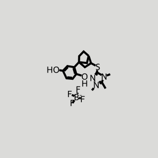 Cc1n(C)c(SC2CC3(c4cc(O)ccc4O)CCC2C3)n[n+]1C.F[B-](F)(F)F